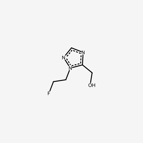 OCc1ncnn1CCF